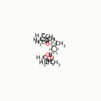 Cc1ccc(B2OC(C)(C)C(C)(C)O2)cc1CO[Si](C)(C)C(C)(C)C